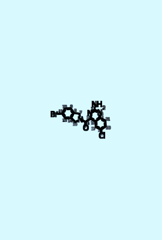 Nc1nc(C(=O)N2Cc3ccc(Br)cc3C2)c2cc(Cl)ccc2n1